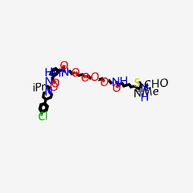 CN[C@H]1C(NC=O)CSC1CCCCC(=O)NCCOCCOCCOCCOCCNC(=O)c1cccc(C(=O)NC(C(=O)N2CCC(c3ccc(Cl)cc3)CC2)C(C)C)c1